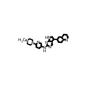 CN1CCN(c2ccc(Nc3ncc4c(-c5ccc6ncccc6c5)c[nH]c4n3)cn2)CC1